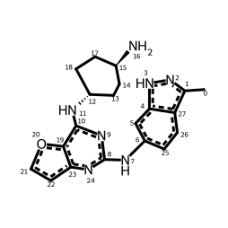 Cc1n[nH]c2cc(Nc3nc(N[C@H]4CC[C@H](N)CC4)c4occc4n3)ccc12